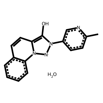 Cc1ccc(N2[N]N3C(=C2O)C=Cc2ccccc23)cn1.O